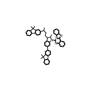 CC(CCC1c2ccc(-c3ccc4c(c3)C(C)(C)c3ccccc3-4)cc2N(c2nc3ccccc3c3nc4ccccc4n23)C1C)c1ccc2c(c1)C(C)(C)c1ccccc1-2